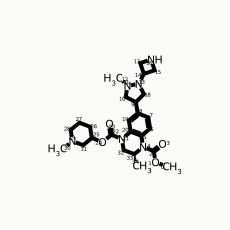 COC(=O)N1c2ccc(C3CN(C)N(C4CNC4)C3)cc2N(C(=O)OC2CCCN(C)C2)C[C@@H]1C